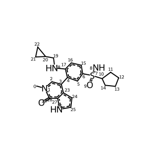 Cn1cc(-c2cc(S(=N)(=O)C3CCCC3)ccc2NCC2CC2)c2cc[nH]c2c1=O